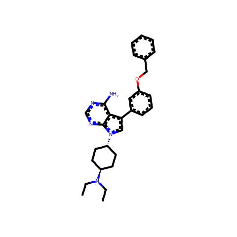 CCN(CC)[C@H]1CC[C@H](n2cc(-c3cccc(OCc4ccccc4)c3)c3c(N)ncnc32)CC1